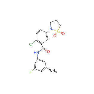 Cc1cc(F)cc(NC(=O)c2cc(N3CCCS3(=O)=O)ccc2Cl)c1